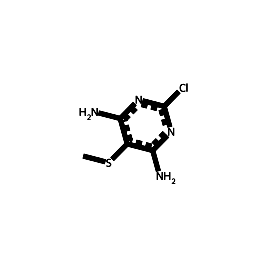 CSc1c(N)nc(Cl)nc1N